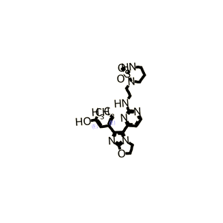 C/C=C(\C=C(/C)O)c1nc2n(c1-c1ccnc(NCCN3CCCNS3(=O)=O)n1)CCO2